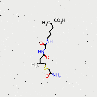 C[C@@H](CSCC(N)=O)CC(=O)NCC(=O)NCCCC[C@H](C)C(=O)O